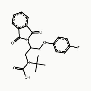 CC(C)(C)N(CC(COc1ccc(F)cc1)N1C(=O)c2ccccc2C1=O)C(=O)O